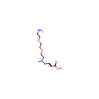 COC(=O)/C=C/CN(C)CCOCCOCCN